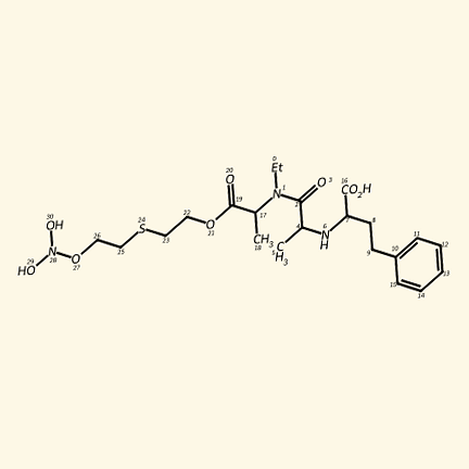 CCN(C(=O)C(C)NC(CCc1ccccc1)C(=O)O)C(C)C(=O)OCCSCCON(O)O